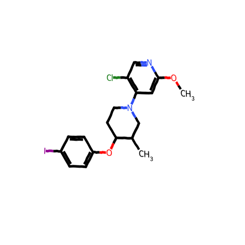 COc1cc(N2CCC(Oc3ccc(I)cc3)C(C)C2)c(Cl)cn1